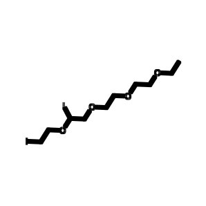 CCOCCOCCOCC(I)OCCI